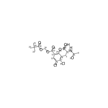 CC(=O)NC1Cc2c(Cl)c(Cl)cc(C(=O)OCOC(=O)C(C)(C)C)c2OB1O